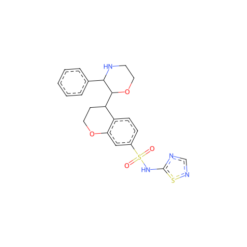 O=S(=O)(Nc1ncns1)c1ccc2c(c1)OCCC2C1OCCNC1c1ccccc1